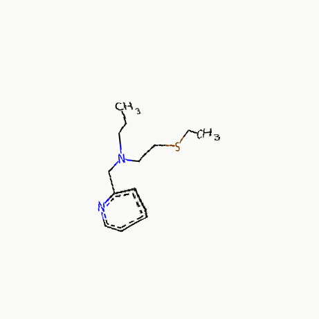 CCCN(CCSCC)Cc1ccccn1